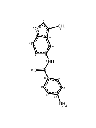 Cc1coc2ncc(NC(=O)c3ccc(N)cc3)cc12